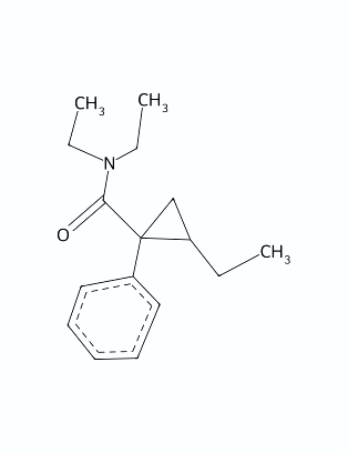 CCC1CC1(C(=O)N(CC)CC)c1ccccc1